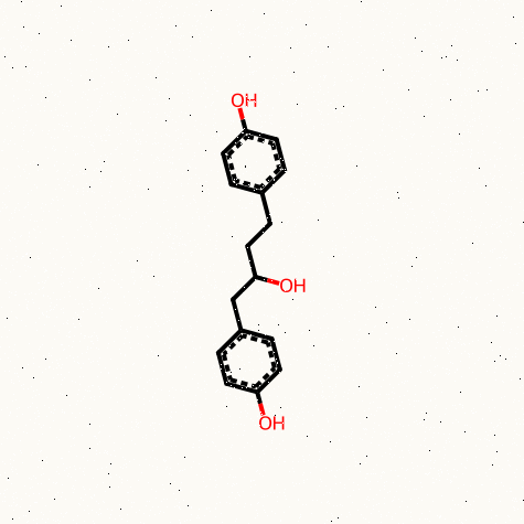 Oc1ccc(CCC(O)Cc2ccc(O)cc2)cc1